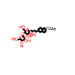 COc1ccc2cc(/C=C/C(=O)C[C@@H]3OC(CO)[C@@H](O[C@@H]4OC(CO)[C@@H](O)C(O)C4O)CC3O)ccc2c1